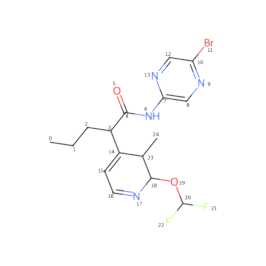 CCCC(C(=O)Nc1cnc(Br)cn1)C1=CC=NC(OC(F)F)C1C